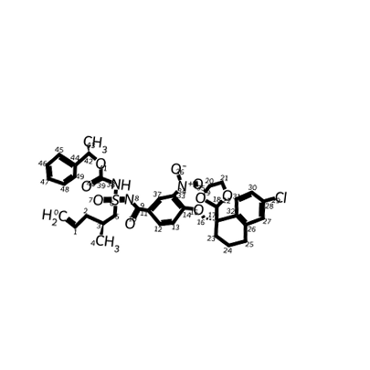 C=CC[C@H](C)CS(=O)(=NC(=O)c1ccc(OC[C@@]2(C3OCCO3)CCCc3cc(Cl)ccc32)c([N+](=O)[O-])c1)NC(=O)O[C@@H](C)c1ccccc1